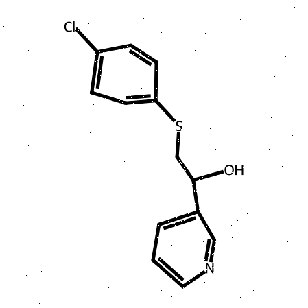 OC(CSc1ccc(Cl)cc1)c1cccnc1